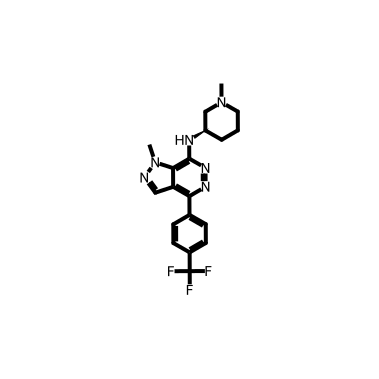 CN1CCC[C@@H](Nc2nnc(-c3ccc(C(F)(F)F)cc3)c3cnn(C)c23)C1